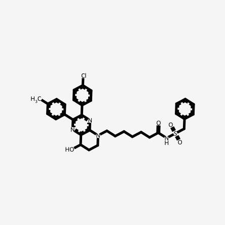 Cc1ccc(-c2nc3c(nc2-c2ccc(Cl)cc2)N(CCCCCCC(=O)NS(=O)(=O)Cc2ccccc2)CCC3O)cc1